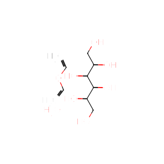 C=COC=C.O.OCC(O)C(O)C(O)C(O)CO